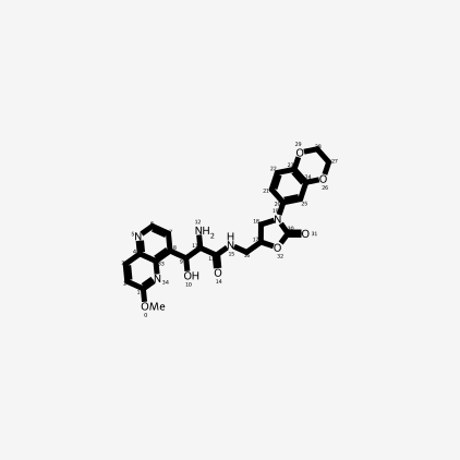 COc1ccc2nccc(C(O)C(N)C(=O)NCC3CN(c4ccc5c(c4)OCCO5)C(=O)O3)c2n1